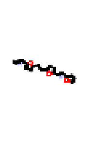 C/C=C/c1ccc(CCc2ccc(/C=C/c3ccco3)o2)o1